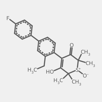 CCc1cc(-c2ccc(F)cc2)ccc1C1=C(O)C(C)(C)[S+]([O-])C(C)(C)C1=O